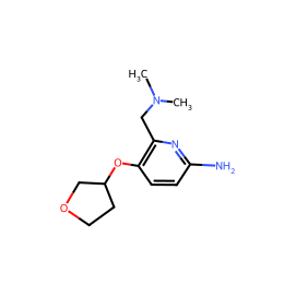 CN(C)Cc1nc(N)ccc1OC1CCOC1